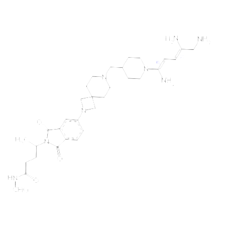 CC(CCC(=O)NC=O)N1C(=O)c2ccc(N3CC4(CCN(CC5CCN(/C(N)=C/C=C(\N)CN)CC5)CC4)C3)cc2C1=O